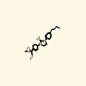 CCCCc1ccc(N2CCN(c3ccc(C(=O)OC)cc3)C2=O)cc1